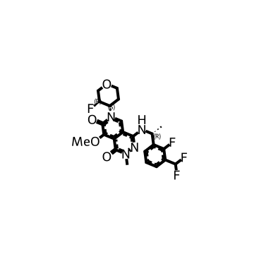 COc1c(=O)n([C@H]2CCOC[C@@H]2F)cc2c(N[C@H](C)c3cccc(C(F)F)c3F)nn(C)c(=O)c12